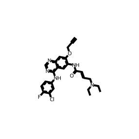 C#CCOc1cc2ncnc(Nc3ccc(F)c(Cl)c3)c2cc1NC(=O)/C=C/CN(CC)CC